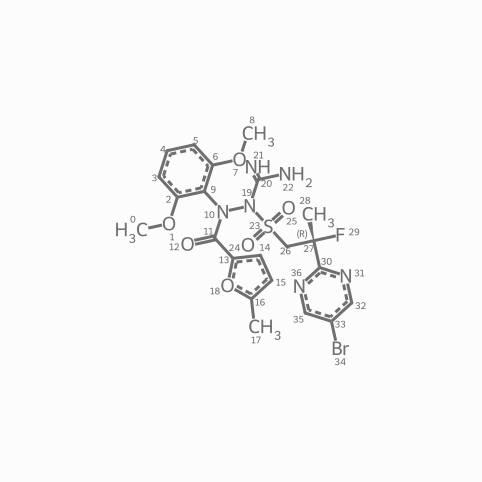 COc1cccc(OC)c1N(C(=O)c1ccc(C)o1)N(C(=N)N)S(=O)(=O)C[C@](C)(F)c1ncc(Br)cn1